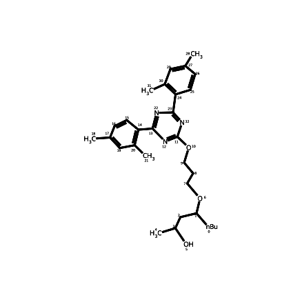 CCCCC(CC(C)O)OCCCOc1nc(-c2ccc(C)cc2C)nc(-c2ccc(C)cc2C)n1